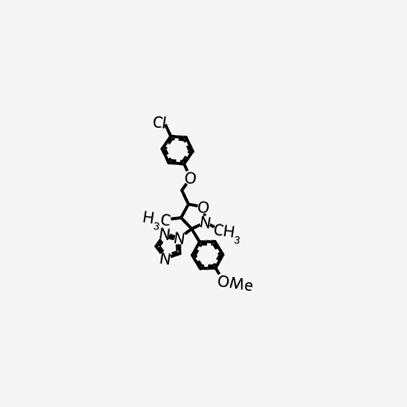 COc1ccc(C2(n3cncn3)C(C)C(COc3ccc(Cl)cc3)ON2C)cc1